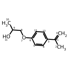 C=C(C)c1ccc(OCC(C)O)cc1